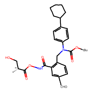 C[C@H](CO)C(=O)ONC(=O)c1cc(C=O)ccc1CN(C(=O)OC(C)(C)C)c1ccc(C2CCCCC2)cc1